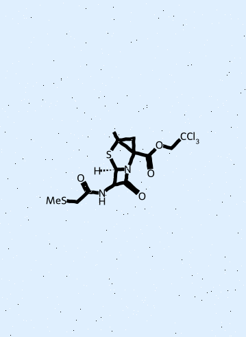 CSCC(=O)NC1C(=O)N2[C@@H]1SC1(C)CC21C(=O)OCC(Cl)(Cl)Cl